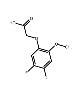 COc1cc(F)c(F)cc1OCC(=O)O